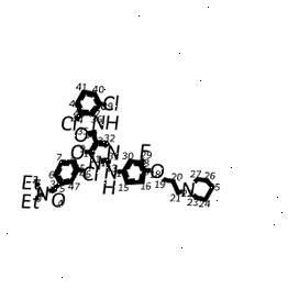 CCN(CC)C(=O)c1ccc(Oc2nc(Nc3ccc(OCCCN4CCCCC4)c(F)c3)ncc2C(=O)Nc2c(Cl)cccc2Cl)c(Cl)c1